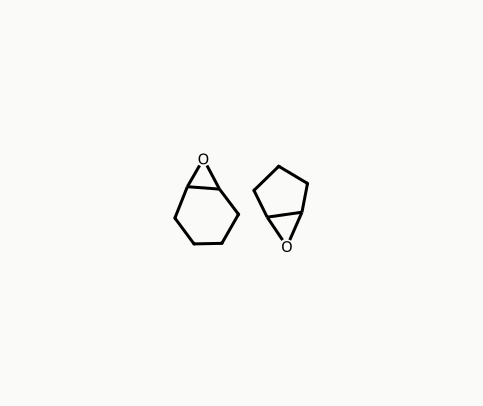 C1CC2OC2C1.C1CCC2OC2C1